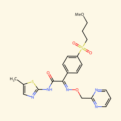 COCCCS(=O)(=O)c1ccc(/C(=N\OCc2ncccn2)C(=O)Nc2ncc(C)s2)cc1